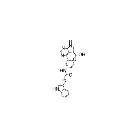 O=C(/C=C/c1c[nH]c2ccccc12)Nc1cccc(-c2ncnc3[nH]cc(C(=O)O)c23)c1